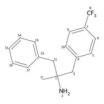 CC(N)([CH]c1ccc(C(F)(F)F)cc1)Cc1ccccc1